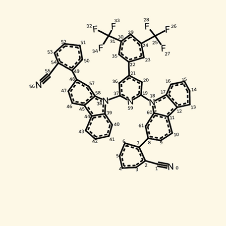 N#Cc1ccccc1-c1ccc2c3ccccc3n(-c3cc(-c4cc(C(F)(F)F)cc(C(F)(F)F)c4)cc(-n4c5ccccc5c5ccc(-c6ccccc6C#N)cc54)n3)c2c1